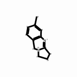 Cc1ccc2c(c1)N=C1CCCN1C2